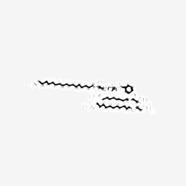 C=CC(=O)OC(C)c1ccccc1.C=CC(=O)OCCCCCCCCC.C=CC(=O)OCCCCCCCCCCCC.C=CC(=O)OCCCCCCCCCCCCCCCCCC